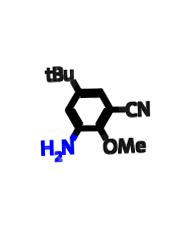 COc1c(N)cc(C(C)(C)C)cc1C#N